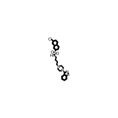 O=S(=O)(NCCCCN1CCN(c2nsc3ccccc23)CC1)c1ccc2ccc(Cl)cc2c1